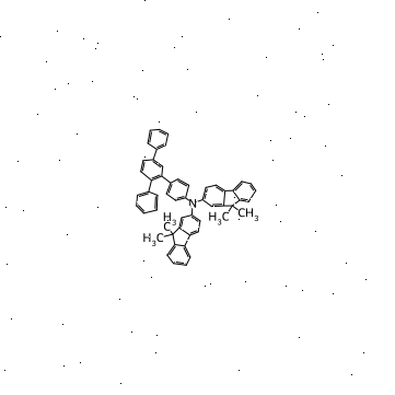 CC1(C)c2ccccc2-c2ccc(N(c3ccc(-c4cc(-c5ccccc5)ccc4-c4ccccc4)cc3)c3ccc4c(c3)C(C)(C)c3ccccc3-4)cc21